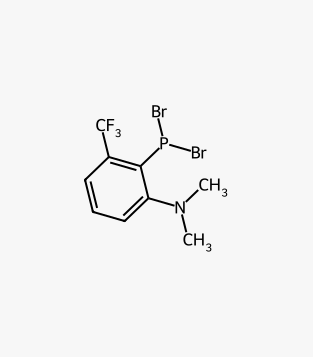 CN(C)c1cccc(C(F)(F)F)c1P(Br)Br